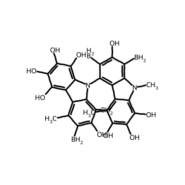 Bc1c(O)c(B)c2c(c1-n1c3c(B)c(O)c(B)c(C)c3c3c(O)c(O)c(O)c(O)c31)c1c(C)c(O)c(O)c(O)c1n2C